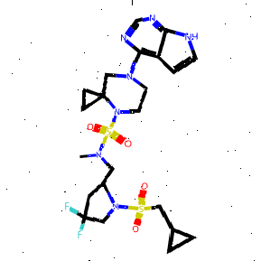 CN(CC1CC(F)(F)CN1S(=O)(=O)CC1CC1)S(=O)(=O)N1CCN(c2ncnc3[nH]ccc23)CC12CC2